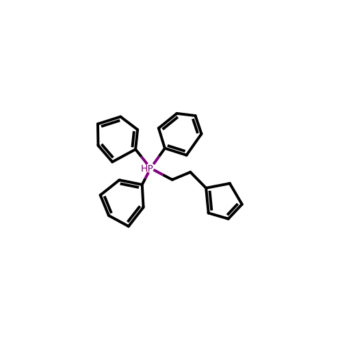 C1=CCC(CC[PH](c2ccccc2)(c2ccccc2)c2ccccc2)=C1